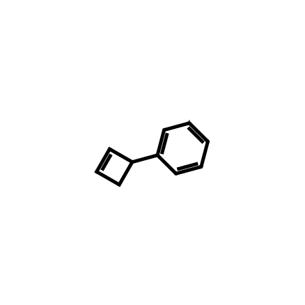 [c]1cccc(C2C=CC2)c1